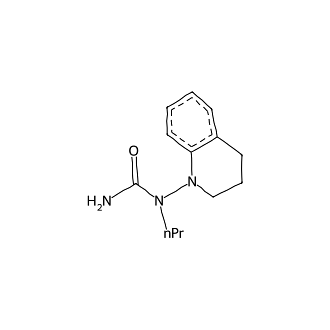 CCCN(C(N)=O)N1CCCc2ccccc21